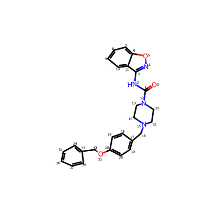 O=C(Nc1noc2ccccc12)N1CCN(Cc2ccc(OCc3ccccc3)cc2)CC1